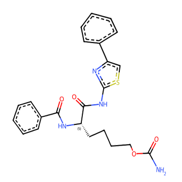 NC(=O)OCCCC[C@H](NC(=O)c1ccccc1)C(=O)Nc1nc(-c2ccccc2)cs1